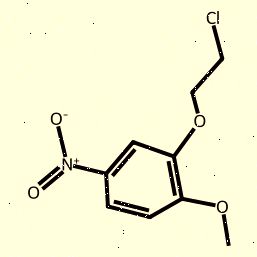 COc1ccc([N+](=O)[O-])cc1OCCCl